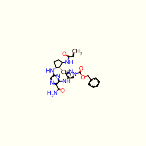 C=CC(=O)NC1CC[C@@H](Nc2cnc(C(N)=O)c(Nc3cnn(C(=O)OCc4ccccc4)c3)n2)[C@H]1C